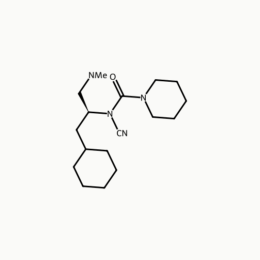 CNC[C@H](CC1CCCCC1)N(C#N)C(=O)N1CCCCC1